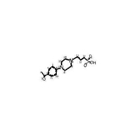 CC(=O)c1ccc(N2CCN(CCCS(=O)(=O)O)CC2)cc1